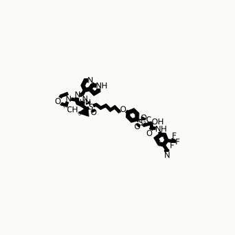 C[C@@H]1COCCN1c1cc(C2(S(=N)(=O)CCCCCCOc3ccc(S(=O)(=O)C[C@](C)(O)C(=O)Nc4ccc(C#N)c(C(F)(F)F)c4)cc3)CC2)nc(-c2ccnc3[nH]ccc23)n1